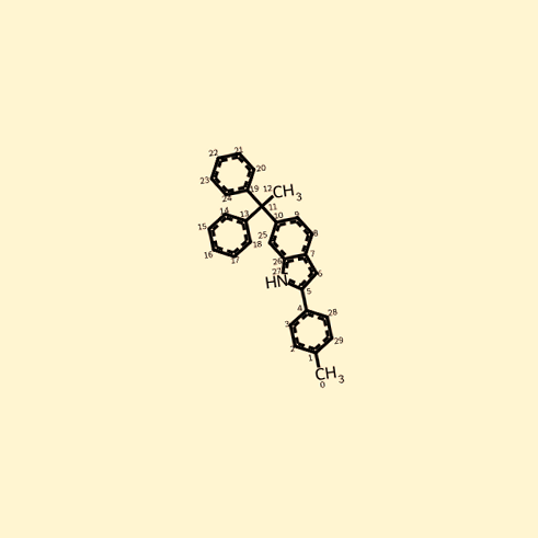 Cc1ccc(-c2cc3ccc(C(C)(c4ccccc4)c4ccccc4)cc3[nH]2)cc1